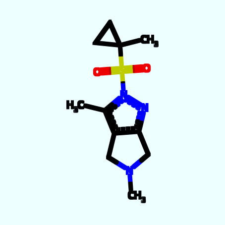 Cc1c2c(nn1S(=O)(=O)C1(C)CC1)CN(C)C2